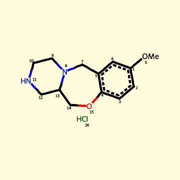 COc1ccc2c(c1)CN1CCNCC1CO2.Cl